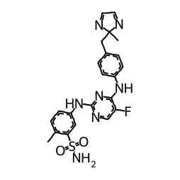 Cc1ccc(Nc2ncc(F)c(Nc3ccc(CC4(C)N=CC=N4)cc3)n2)cc1S(N)(=O)=O